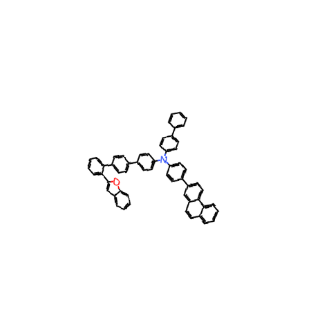 c1ccc(-c2ccc(N(c3ccc(-c4ccc(-c5ccccc5-c5cc6ccccc6o5)cc4)cc3)c3ccc(-c4ccc5c(ccc6ccccc65)c4)cc3)cc2)cc1